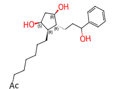 CC(=O)CCCCCC[C@@H]1[C@@H](CCC(O)c2ccccc2)[C@H](O)C[C@@H]1O